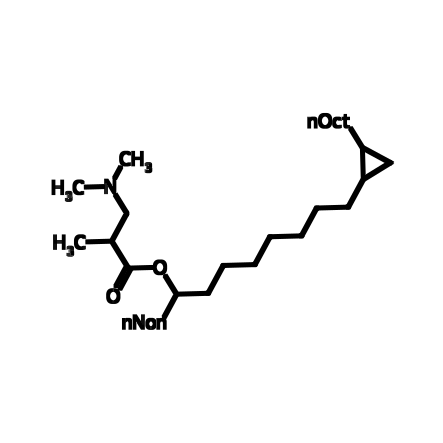 CCCCCCCCCC(CCCCCCCC1CC1CCCCCCCC)OC(=O)C(C)CN(C)C